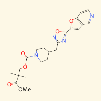 COC(=O)C(C)(C)COC(=O)N1CCC(Cc2noc(-c3cc4cnccc4o3)n2)CC1